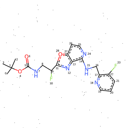 CC(C)(C)OC(=O)NCC(F)c1nc2c(NCc3ncccc3F)nccc2o1